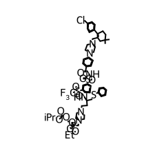 CCOP(=O)(CN1CCN(CCC(CSc2ccccc2)Nc2ccc(S(=O)(=O)NC(=O)c3ccc(N4CCN(CC5=C(c6ccc(Cl)cc6)CCC(C)(C)C5)CC4)cc3)cc2S(=O)(=O)C(F)(F)F)CC1)OCOC(=O)OC(C)C